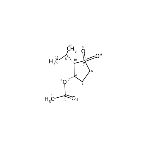 CC(=O)O[C@H]1CCS(=O)(=O)[C@H]1C(C)C